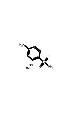 Nc1ccc(S(N)(=O)=O)cc1.[NaH].[NaH]